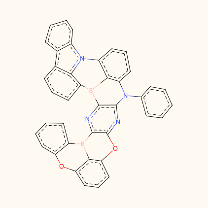 c1ccc(N2c3cccc4c3B(c3nc5c(nc32)Oc2cccc3c2B5c2ccccc2O3)c2cccc3c5ccccc5n-4c23)cc1